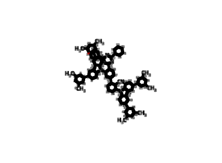 Cc1cc(C)cc(-c2ccc3c(c2)c2cc(-c4cc(C)cc(C)c4)ccc2n3-c2cc(-c3cccc(-n4c5ccc(-c6cc(C)cc(C)c6)cc5c5cc(-c6cc(C)cc(C)c6)ccc54)c3C#N)ccc2-c2nc(-c3ccccc3)nc(-c3ccccc3)n2)c1